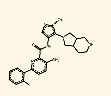 Cn1ncc(NC(=O)c2nc(-c3ccccc3F)ccc2N)c1N1CC2CCNCC2C1